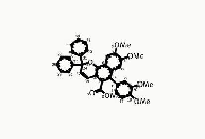 COC(=O)c1c2c(c3cc(OC)c(OC)cc3c1-c1ccc(OC)c(OC)c1)OC(c1ccccc1)(c1ccccc1)C=C2